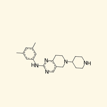 Cc1cc(C)cc(Nc2ncc3c(n2)CCN(C2CCNCC2)C3)c1